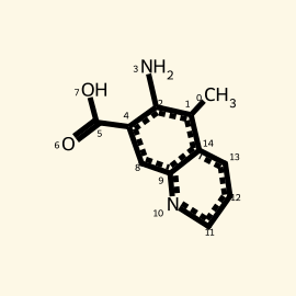 Cc1c(N)c(C(=O)O)cc2ncccc12